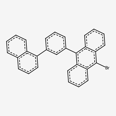 Brc1c2ccccc2c(-c2cccc(-c3cccc4ccccc34)c2)c2ccccc12